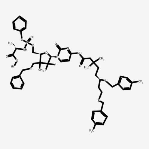 CC(C)OC(=O)[C@H](C)NP(=O)(OC[C@H]1O[C@@H](n2ccc(NC(=O)CC(C)(C)CC[C@H](CCSCc3ccc(C(F)(F)F)cc3)SCc3ccc(C(F)(F)F)cc3)nc2=O)C(F)(F)C1(C)COCc1ccccc1)Oc1ccccc1